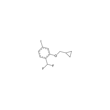 FC(F)c1ccc(I)cc1OCC1CC1